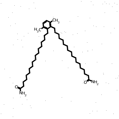 Cc1ccc(C)c(CCCCCCCCCCCCCCCCCC(N)=O)c1CCCCCCCCCCCCCCCCCC(N)=O